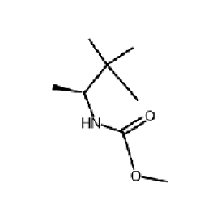 COC(=O)N[C@@H](C)C(C)(C)C